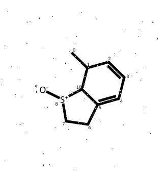 CC1C=CC=C2CC[S+]([O-])C21